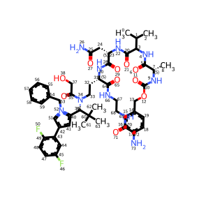 CC(C)C(NC(=O)[C@H](C)NC(=O)OCc1ccccc1)C(=O)N[C@@H](CC(N)=O)C(=O)N[C@@H](CCN(C(=O)CO)[C@@H](c1cc(-c2cc(F)ccc2F)cn1Cc1ccccc1)C(C)(C)C)C(=O)NCCNC(=O)CN